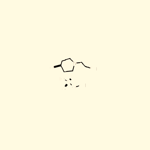 CCCN1CCC(=O)CC1.COS(=O)(=O)O